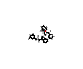 COc1cccc2c(C(=O)NCc3cccc(C)c3)cn(CCCN3[C@@H]4CC[C@H]3C[C@H](CC(=O)c3ccccn3)C4)c12